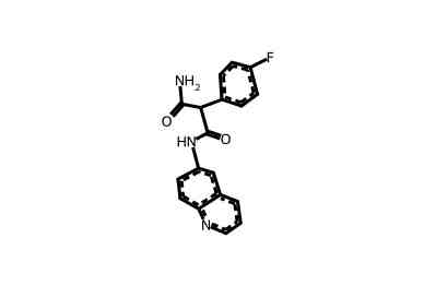 NC(=O)C(C(=O)Nc1ccc2ncccc2c1)c1ccc(F)cc1